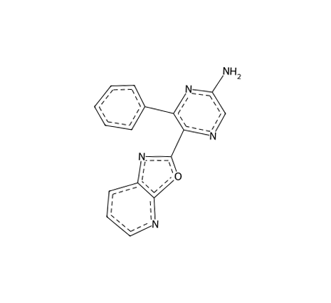 Nc1cnc(-c2nc3cccnc3o2)c(-c2ccccc2)n1